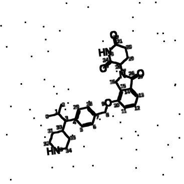 CC(C)C(c1ccc(COc2cccc3c2CN(C2CCC(=O)NC2=O)C3=O)cc1)C1CCNCC1